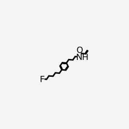 C=CC(=O)NCCCc1ccc(CCCCCF)cc1